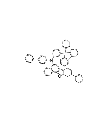 C1=CC(c2ccccc2)Cc2oc3c(cc(N(c4ccc(-c5ccccc5)cc4)c4ccc5c(c4)C4(c6ccccc6-c6ccccc64)c4ccccc4-5)c4ccccc43)c21